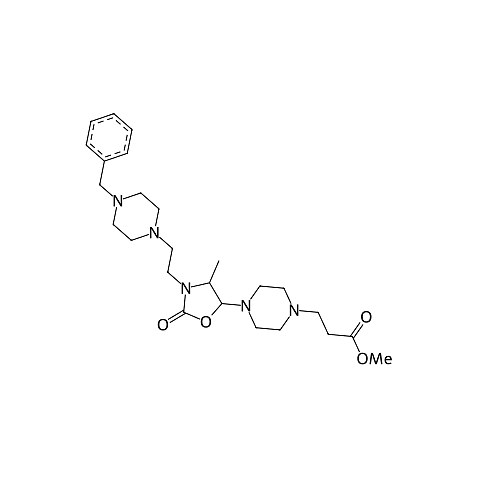 COC(=O)CCN1CCN(C2OC(=O)N(CCN3CCN(Cc4ccccc4)CC3)C2C)CC1